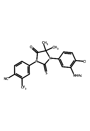 CC(=O)Nc1cc(N2C(=S)N(c3ccc(C#N)c(C(F)(F)F)c3)C(=O)C2(C)C)ccc1Cl